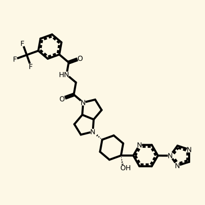 O=C(NCC(=O)N1CCC2C1CCN2[C@H]1CC[C@](O)(c2ccc(-n3cncn3)cn2)CC1)c1cccc(C(F)(F)F)c1